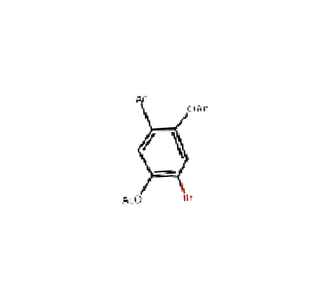 CC(=O)Oc1cc(C(C)=O)c(OC(C)=O)cc1Br